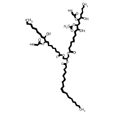 CCCCCCCC/C=C\CCCCCCCC(=O)OC(COC(=O)CCCCCCCC(O)C(CC(OC(=O)C=N)C(O)CCCCC)OC(C)=O)COC(=O)CCCCCCCC(OC(=O)C=N)C(O)CCCCCCCC